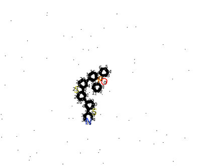 O=P(c1ccccc1)(c1ccccc1)c1cccc(-c2ccc3sc4ccc(-c5ccc6sc7cnccc7c6c5)cc4c3c2)c1